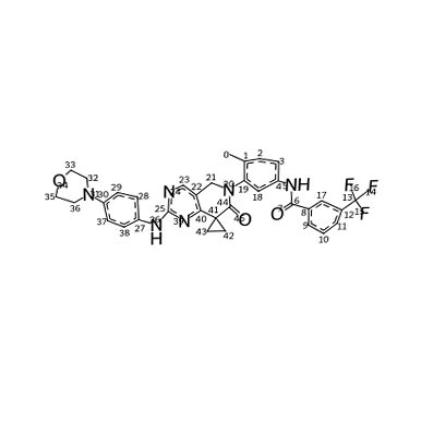 Cc1ccc(NC(=O)c2cccc(C(F)(F)F)c2)cc1N1Cc2cnc(Nc3ccc(N4CCOCC4)cc3)nc2C2(CC2)C1=O